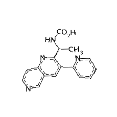 CC(NC(=O)O)c1nc2ccncc2cc1-c1ccccn1